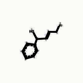 CC(C)C/C=C/C(O)c1ccccc1